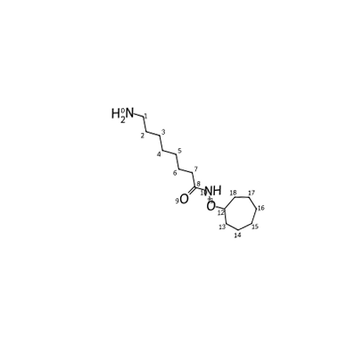 NCCCCCCCC(=O)NOC1CCCCCC1